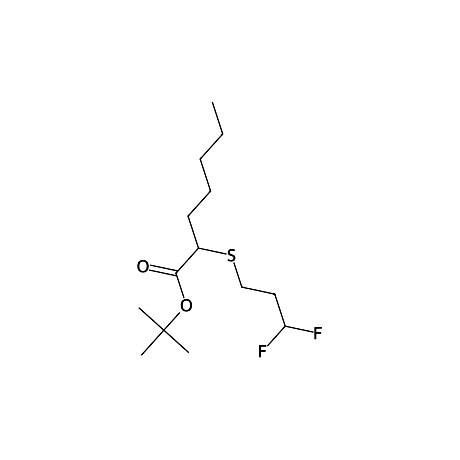 CCCCCC(SCCC(F)F)C(=O)OC(C)(C)C